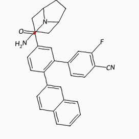 N#Cc1ccc(-c2cc(C(=O)N3C4CCC3CC(N)C4)ccc2-c2ccc3ccccc3c2)cc1F